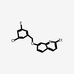 CCc1ccc2ccc(OCc3cc(F)cc(Cl)c3)cc2n1